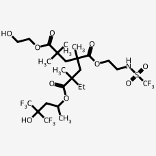 CCC(C)(CC(C)(CC(C)(C)C(=O)OCCO)C(=O)OCCNS(=O)(=O)C(F)(F)F)C(=O)OC(C)CC(O)(C(F)(F)F)C(F)(F)F